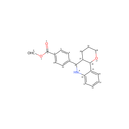 O=COC(=O)c1ccc(C2Nc3ccccc3C3OCCCC23)cc1